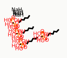 CCCCCCOP(=O)(O)C(O)P(=O)(O)O.CCCCCCOP(=O)(O)C(O)P(=O)(O)O.CCCCCCOP(=O)(O)C(O)P(=O)(O)O.CCCCCCOP(=O)(O)C(O)P(=O)(O)O.[NaH].[NaH].[NaH].[NaH]